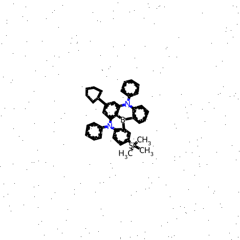 C[Si](C)(C)c1ccc2c(c1)B1c3ccccc3N(c3ccccc3)c3cc(C4CCCCC4)cc(c31)N2c1ccccc1